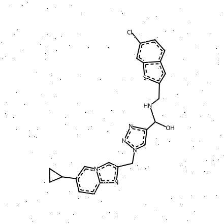 OC(NCc1cc2ccc(Cl)cc2s1)c1cn(Cc2cn3cc(C4CC4)ccc3n2)nn1